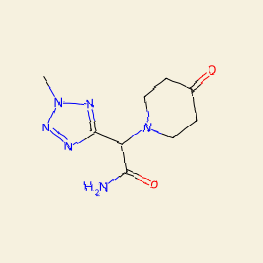 Cn1nnc(C(C(N)=O)N2CCC(=O)CC2)n1